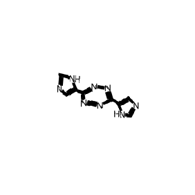 c1ncc(-c2nnc(-c3cnc[nH]3)nn2)[nH]1